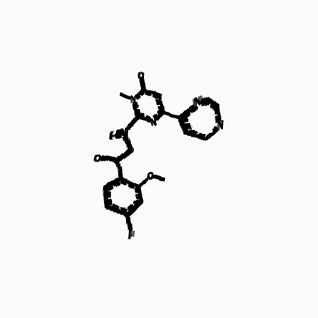 COc1cc(F)ccc1C(=O)CNc1nc(-c2ccncn2)cc(=O)n1C